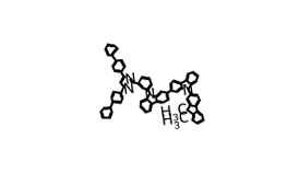 CC1(C)c2ccccc2-c2ccc(-n3c4ccccc4c4ccc(-c5ccc6c7ccccc7n(-c7cccc(-c8nc(-c9ccc(-c%10ccccc%10)cc9)cc(-c9ccc(-c%10ccccc%10)cc9)n8)c7)c6c5)cc43)cc21